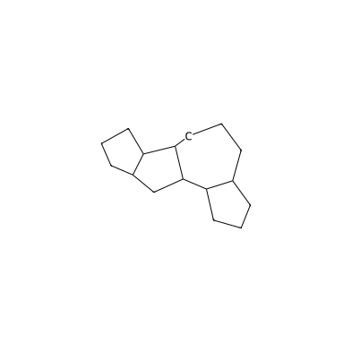 C1CC2CC3C4CCCC4CCCC3C2C1